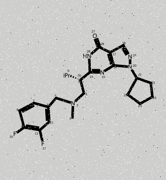 CC(C)[C@@H](CN(C)Cc1ccc(F)c(F)c1)c1nc2c(cnn2C2CCCC2)c(=O)[nH]1